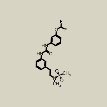 CN(CCc1cccc(NC(=O)Nc2cccc(OC(F)F)c2)c1)S(C)(=O)=O